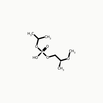 CO[C@@H](C)COP(=O)(O)OC(C)C